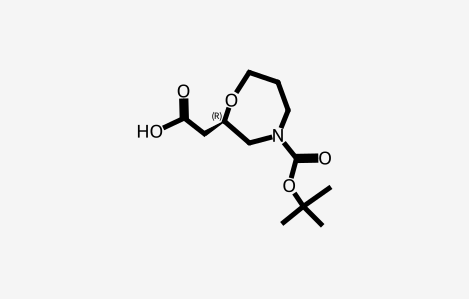 CC(C)(C)OC(=O)N1CCCO[C@H](CC(=O)O)C1